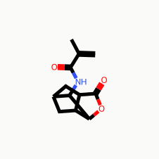 C=C(C)C(=O)NC1C2CC3C(=O)OC1C3C2